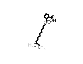 CCC(C)CCCCCCCCCCOC(=O)C1CC=CCC1C(=O)O